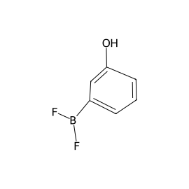 Oc1cccc(B(F)F)c1